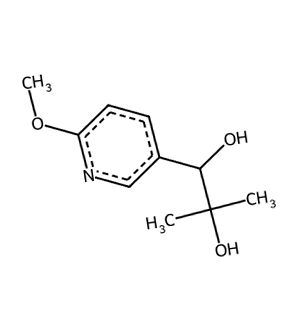 COc1ccc(C(O)C(C)(C)O)cn1